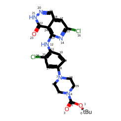 CC(C)(C)OC(=O)N1CCN(c2ccc(Nc3nc(Cl)cc4cn[nH]c(=O)c34)c(Cl)c2)CC1